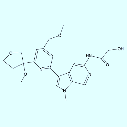 COCc1cc(-c2cn(C)c3cnc(NC(=O)CO)cc23)nc(C2(OC)CCOC2)c1